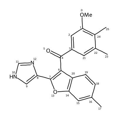 COc1cc(C(=O)c2c(-c3c[nH]cn3)oc3cc(C)ccc23)cc(C)c1C